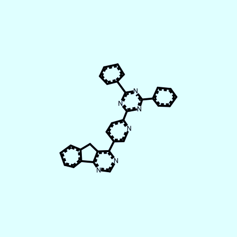 c1ccc(-c2nc(-c3ccccc3)nc(-c3ccc(-c4ncnc5c4Cc4ccccc4-5)cn3)n2)cc1